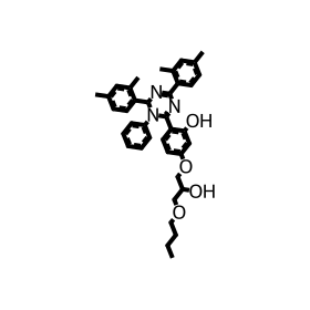 CCCCOCC(O)COc1ccc(C2=NC(c3ccc(C)cc3C)=NC(c3ccc(C)cc3C)N2c2ccccc2)c(O)c1